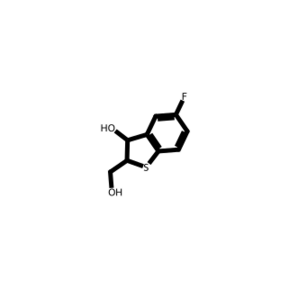 OCC1Sc2ccc(F)cc2C1O